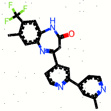 Cc1cc(-c2cc(C3=Nc4cc(C)c(C(F)(F)F)cc4NC(=O)C3)ccn2)ccn1